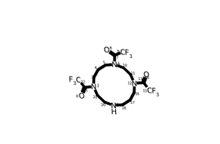 O=C(N1CCCN(C(=O)C(F)(F)F)CCN(C(=O)C(F)(F)F)CCCNCC1)C(F)(F)F